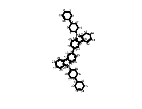 C1=CCC(C2CCC(n3c4c(c5cc(-c6ccc7c(c6)c6ccccc6n7C6=CCC(C7CC=CCC7)CC6)ccc53)C=CCC4)CC2)C=C1